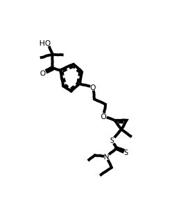 CCN(CC)C(=S)SC1(C)C=C1OCCOc1ccc(C(=O)C(C)(C)O)cc1